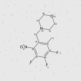 Cc1c(F)c(F)c(F)c([N+](=O)[O-])c1CN1CCOCC1